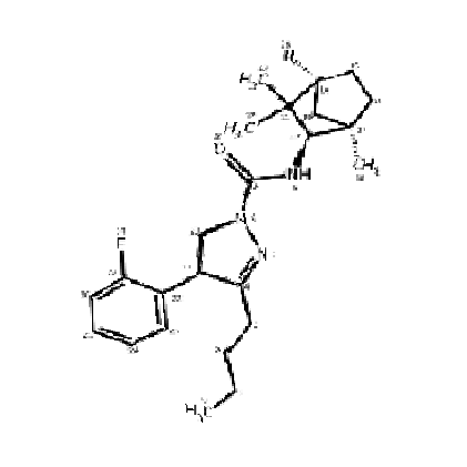 CCCCC1=NN(C(=O)N[C@H]2C(C)(C)[C@H]3CC[C@]2(C)C3)CC1c1ccccc1F